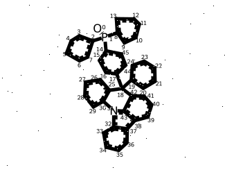 O=P(c1ccccc1)(c1ccccc1)c1ccc(C2(c3ccccc3)c3ccccc3-n3c4ccccc4c4cccc2c43)cc1